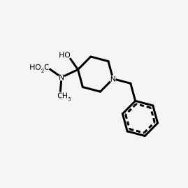 CN(C(=O)O)C1(O)CCN(Cc2ccccc2)CC1